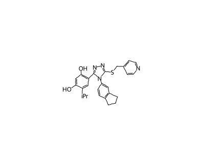 CC(C)c1cc(-c2nnc(SCc3ccncc3)n2-c2ccc3c(c2)CCC3)c(O)cc1O